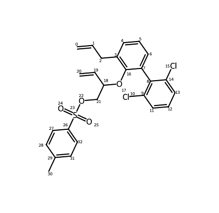 C=CCc1cccc(-c2c(Cl)cccc2Cl)c1OC(C=C)COS(=O)(=O)c1ccc(C)cc1